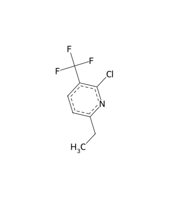 CCc1ccc(C(F)(F)F)c(Cl)n1